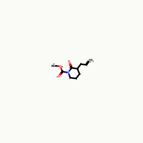 C=CCC1CCCN(C(=O)OC(C)(C)C)C1=O